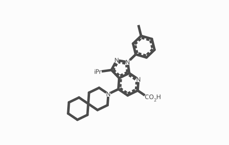 Cc1cccc(-n2nc(C(C)C)c3c(N4CCC5(CCCCC5)CC4)cc(C(=O)O)nc32)c1